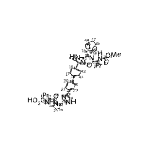 COC(=O)N[C@H](C(=O)N1CC2(C[C@H]1c1nc(-c3ccc(-c4ccc(-c5c[nH]c([C@@H]6CCCN6C(=O)[C@@H](NC(=O)O)C(C)C)n5)cc4)cc3)c[nH]1)OCCCO2)C(C)C